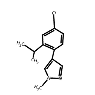 CC(C)c1cc(Cl)ccc1-c1cnn(C)c1